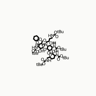 CC(C)(C)OC(=O)NCC[C@H](O)C(=O)N[C@@H]1C[C@@H](NC(=O)OC(C)(C)C)C(O[C@H]2OC(CNC(=O)OC(C)(C)C)CCC2NC(=O)OC(C)(C)C)C(O)[C@H]1O[C@H]1OC2COC3(CCCCC3)O[C@H]2[C@H](NC(=O)OC(C)(C)C)C1O